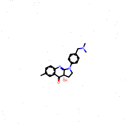 Cc1ccc2c(c1)C(=O)[C@]1(O)CCN(c3ccc(CN(C)C)cc3)C1=N2